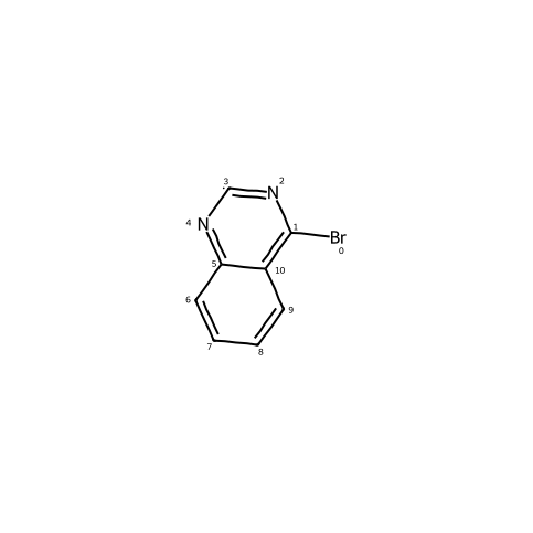 Brc1n[c]nc2ccccc12